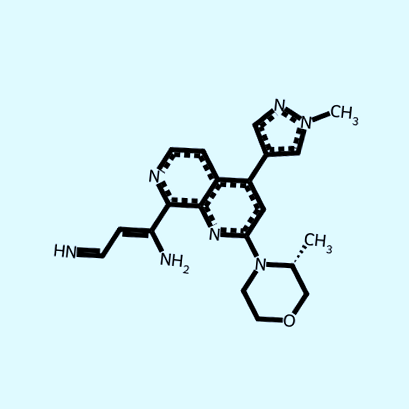 C[C@@H]1COCCN1c1cc(-c2cnn(C)c2)c2ccnc(/C(N)=C/C=N)c2n1